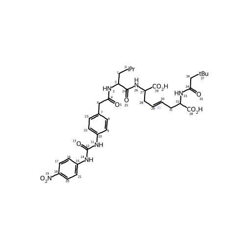 CC(C)CC(NC(=O)Cc1ccc(NC(=O)Nc2ccc([N+](=O)[O-])cc2)cc1)C(=O)NC(C/C=C/CC(NC(=O)CC(C)(C)C)C(=O)O)C(=O)O